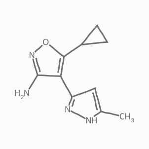 Cc1cc(-c2c(N)noc2C2CC2)n[nH]1